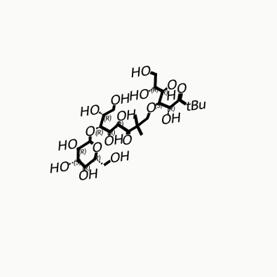 CC(C)(C)C(=O)[C@H](O)[C@@H](OCC(C)(C)C(=O)[C@H](O)[C@@H](O)[C@H](OC1O[C@H](CO)[C@H](O)[C@H](O)[C@H]1O)[C@H](O)CO)[C@H](O)[C@H](O)CO